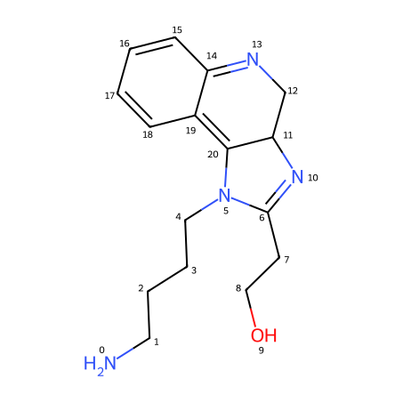 NCCCCN1C(CCO)=NC2CN=c3ccccc3=C21